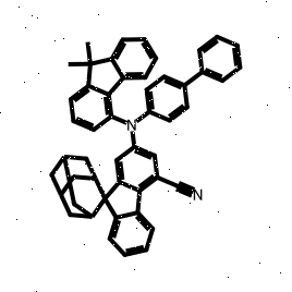 CC1(C)c2ccccc2-c2c(N(c3ccc(-c4ccccc4)cc3)c3cc(C#N)c4c(c3)C3(c5ccccc5-4)C4CC5CC(C4)CC3C5)cccc21